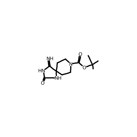 CC(C)(C)OC(=O)N1CCC2(CC1)NC(=O)NC2=N